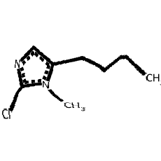 CCCCc1cnc(Cl)n1C